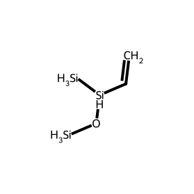 C=C[SiH]([SiH3])O[SiH3]